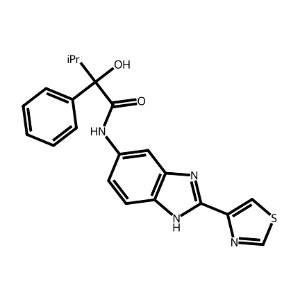 CC(C)C(O)(C(=O)Nc1ccc2[nH]c(-c3cscn3)nc2c1)c1ccccc1